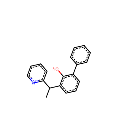 CC(c1ccccn1)c1cccc(-c2ccccc2)c1O